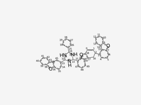 C1=CC(c2cccc3oc4ccccc4c23)Cc2c1oc1c(C3NC(c4ccccc4)NC(c4ccc5oc6ccccc6c5c4)N3)cccc21